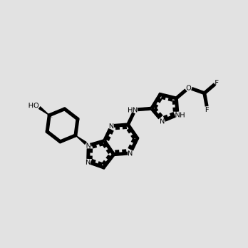 O[C@H]1CC[C@@H](n2ncc3ncc(Nc4cc(OC(F)F)[nH]n4)nc32)CC1